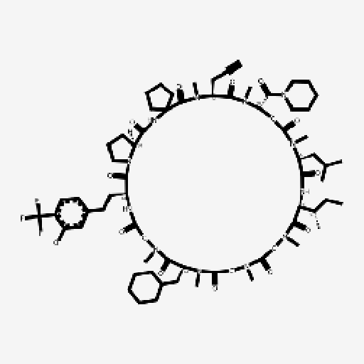 C#CC[C@H]1C(=O)N(C)[C@H](C(=O)N2CCCCC2)CC(=O)N(C)[C@@H](CC(C)C)C(=O)N[C@@H]([C@@H](C)CC)C(=O)N(C)CC(=O)N(C)CC(=O)N(C)[C@@H](CC2CCCCC2)C(=O)N(C)CC(=O)N[C@@H](CCc2ccc(C(F)(F)F)c(Cl)c2)C(=O)N2CCC[C@H]2C(=O)NC2(CCCC2)C(=O)N1C